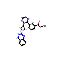 CCC(=O)c1cccc(-c2nccnc2C2CN(c3ncc4ccccc4n3)C2)c1